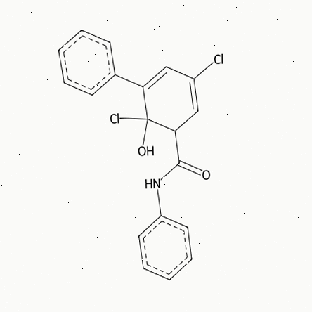 O=C(Nc1ccccc1)C1C=C(Cl)C=C(c2ccccc2)C1(O)Cl